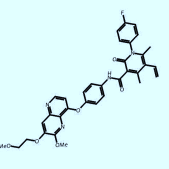 C=Cc1c(C)c(C(=O)Nc2ccc(Oc3ccnc4cc(OCCOC)c(OC)nc34)cc2)c(=O)n(-c2ccc(F)cc2)c1C